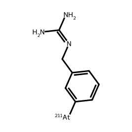 NC(N)=NCc1cccc([211At])c1